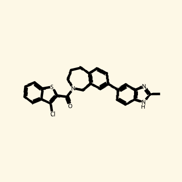 Cc1nc2cc(-c3ccc4c(c3)CN(C(=O)c3sc5ccccc5c3Cl)CCC4)ccc2[nH]1